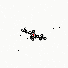 CC1(C)c2ccc(-c3ccccc3N(c3ccc(-c4ccc5c(c4)sc4ccccc45)cc3)c3ccc4c(c3)C(C)(C)c3ccccc3-4)cc2-c2ccc(-c3cccc4c3c3ccccc3n4-c3ccccc3)cc21